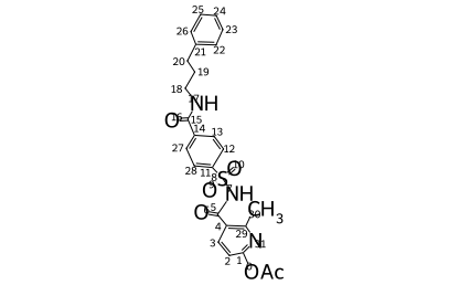 CC(=O)Oc1ccc(C(=O)NS(=O)(=O)c2ccc(C(=O)NCCCc3ccccc3)cc2)c(C)n1